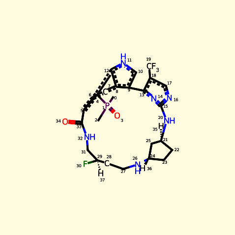 CP(C)(=O)c1c2ccc3c(c[nH]c13)-c1nc(ncc1C(F)(F)F)N[C@H]1CC[C@@H](C1)NCC[C@@H](F)CNC2=O